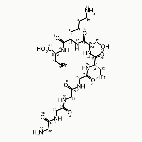 CC(C)C[C@H](NC(=O)[C@H](CCCCN)NC(=O)[C@H](CO)NC(=O)[C@H](CC(C)C)NC(=O)CNC(=O)CNC(=O)CNC(=O)CN)C(=O)O